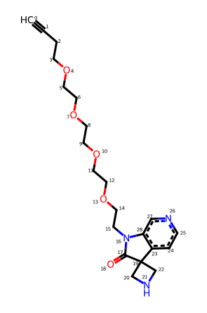 C#CCCOCCOCCOCCOCCN1C(=O)C2(CNC2)c2ccncc21